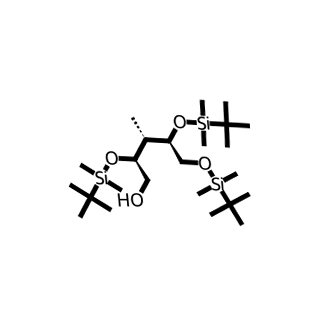 C[C@H]([C@H](CO[Si](C)(C)C(C)(C)C)O[Si](C)(C)C(C)(C)C)[C@@H](CO)O[Si](C)(C)C(C)(C)C